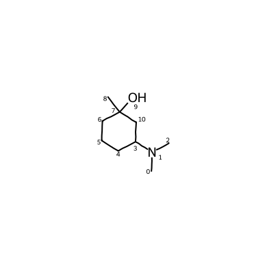 CN(C)C1CCCC(C)(O)C1